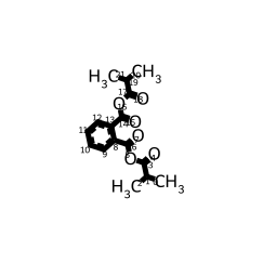 CC(C)C(=O)OC(=O)c1ccccc1C(=O)OC(=O)C(C)C